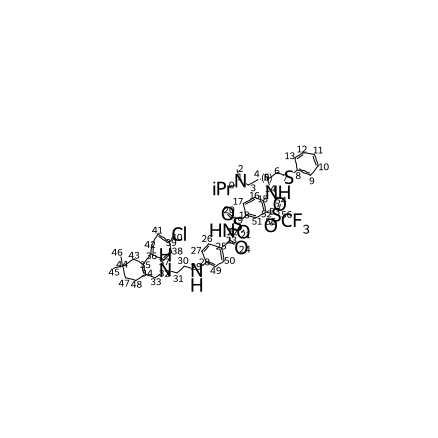 CC(C)N(C)CC[C@H](CSc1ccccc1)Nc1ccc(S(=O)(=O)NC(=O)c2ccc(NCCNCC3=C(c4ccc(Cl)cc4)CC(C)(C)CC3)cc2)cc1S(=O)(=O)C(F)(F)F